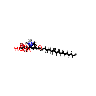 CCCCCCCCCCCCCCCCOCC(CC(COP(=O)(O)O)[N+](C)(C)C)SC